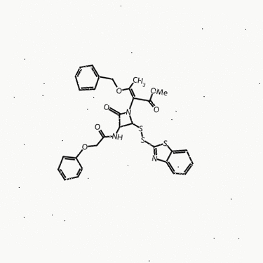 COC(=O)C(=C(C)OCc1ccccc1)N1C(=O)C(NC(=O)COc2ccccc2)C1SSc1nc2ccccc2s1